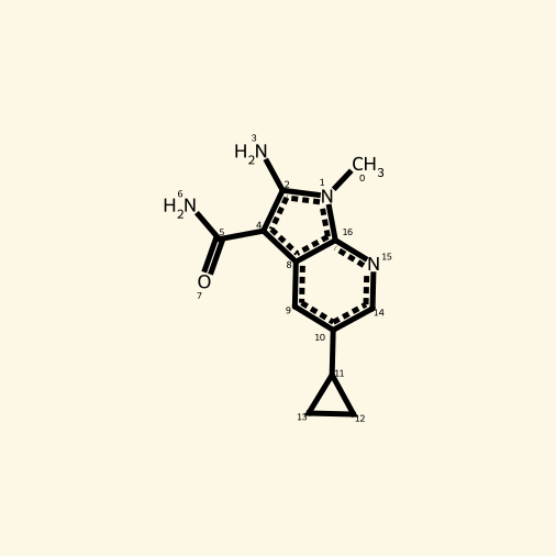 Cn1c(N)c(C(N)=O)c2cc(C3CC3)cnc21